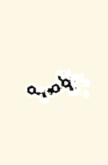 CCc1cc(N)c(OC)cc1N1CCC2(CC1)CN(C(=O)OCc1ccccc1)C2